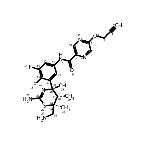 C#CCOc1cnc(C(=O)Nc2cc(F)c(F)c([C@@]3(C)N=C(N)S[C@](C)(CN)[C@H]3C)c2)cn1